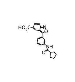 O=C(O)c1ccc2noc(-c3cccc(NC(=O)C4CCCC4)c3)c2c1